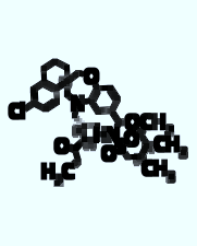 C=CC(=O)[C@@H]1CC[C@H]1CN1C[C@@]2(CCCc3cc(Cl)ccc32)COc2ccc(C(=O)NS(=O)(=O)C[C@@H](C)[C@@H](C)C=C)cc21